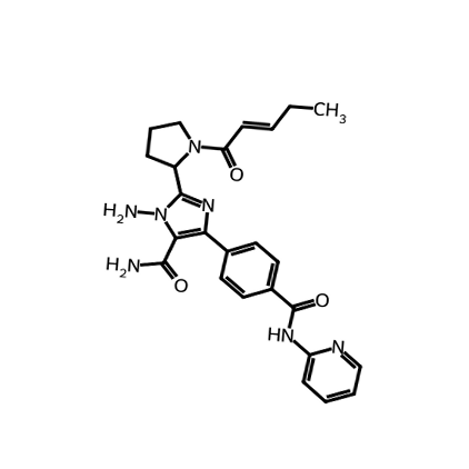 CCC=CC(=O)N1CCCC1c1nc(-c2ccc(C(=O)Nc3ccccn3)cc2)c(C(N)=O)n1N